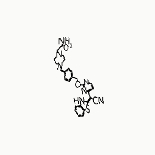 N#CC(=C1Nc2ccccc2S1)c1ccnc(OCc2ccc(CN3CCN(CC(N)=O)CC3)cc2)n1